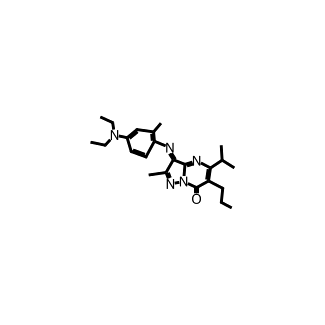 CCCc1c(C(C)C)nc2n(c1=O)N=C(C)C2=Nc1ccc(N(CC)CC)cc1C